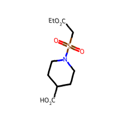 CCOC(=O)CS(=O)(=O)N1CCC(C(=O)O)CC1